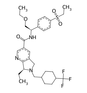 CCOC[C@H](NC(=O)c1cnc2c(c1)CN(CC1CCC(C(F)(F)F)CC1)[C@H]2CC)c1ccc(S(=O)(=O)CC)cc1